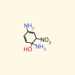 NC1=CC([N+](=O)[O-])C(N)(O)C=C1